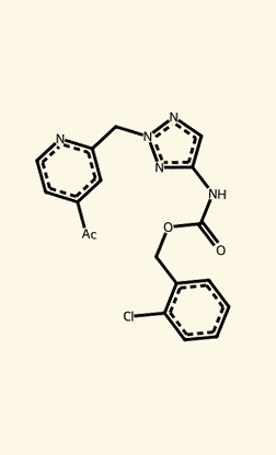 CC(=O)c1ccnc(Cn2ncc(NC(=O)OCc3ccccc3Cl)n2)c1